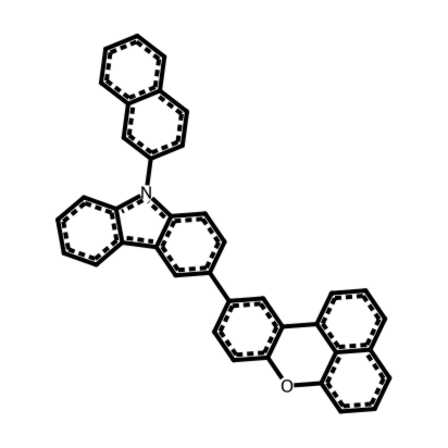 c1ccc2cc(-n3c4ccccc4c4cc(-c5ccc6c(c5)-c5cccc7cccc(c57)O6)ccc43)ccc2c1